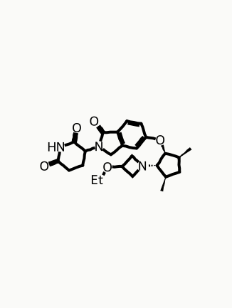 CCOC1CN([C@@H]2[C@@H](Oc3ccc4c(c3)CN(C3CCC(=O)NC3=O)C4=O)[C@@H](C)C[C@H]2C)C1